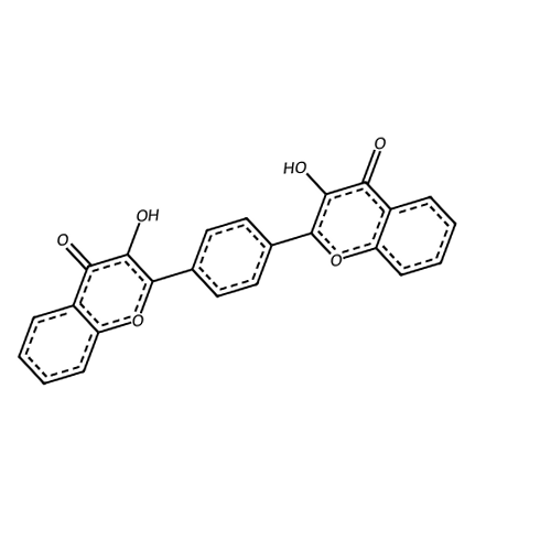 O=c1c(O)c(-c2ccc(-c3oc4ccccc4c(=O)c3O)cc2)oc2ccccc12